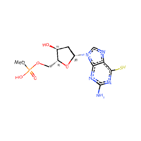 COP(=O)(O)OC[C@H]1O[C@@H](n2cnc3c(S)nc(N)nc32)C[C@@H]1O